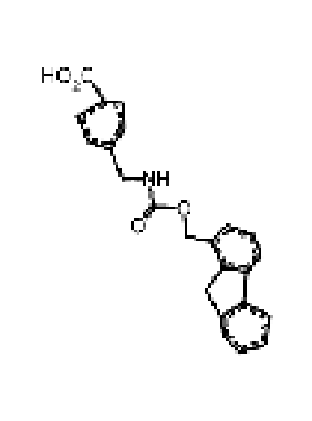 O=C(NCc1ccc(C(=O)O)cc1)OCc1cccc2c1Cc1ccccc1-2